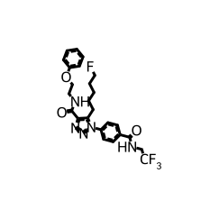 O=C(NCC(F)(F)F)c1ccc(-n2nnc(C(=O)NCCOc3ccccc3)c2CCCCCF)cc1